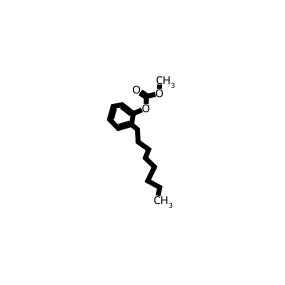 CCCCCCCCc1ccccc1OC(=O)OC